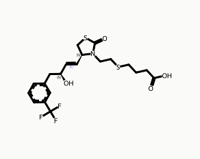 O=C(O)CCCSCCN1C(=O)SC[C@@H]1/C=C/[C@@H](O)Cc1cccc(C(F)(F)F)c1